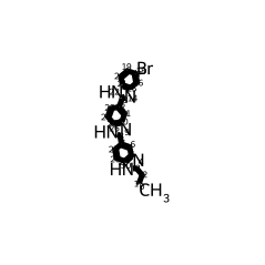 CCCc1nc2cc(-c3nc4cc(-c5nc6cc(Br)ccc6[nH]5)ccc4[nH]3)ccc2[nH]1